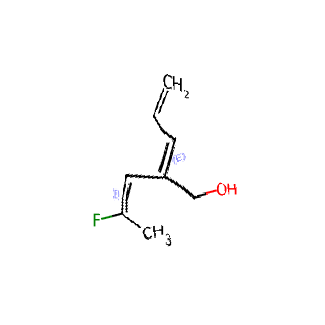 C=C/C=C(\C=C(/C)F)CO